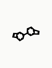 C1=Cc2cc(-c3ccc4c(c3)C=C4)ccc21